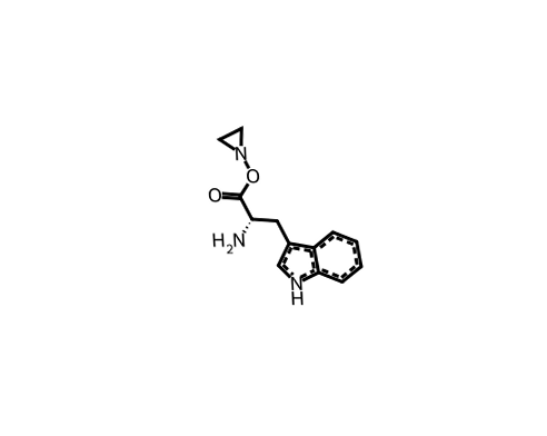 N[C@@H](Cc1c[nH]c2ccccc12)C(=O)ON1CC1